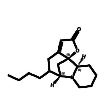 CCCCC1CC2=CC(=O)O[C@@]23C[C@@H]1N1CCCC[C@@H]13